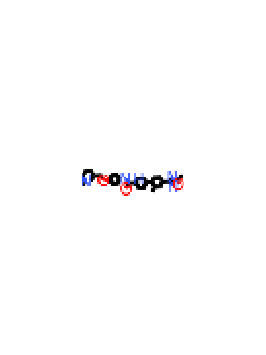 Cc1nc(-c2ccc(-c3ccc(C(=O)Nc4ccc(OCC5CCCN(C)C5)cc4)cc3)c(C)c2)no1